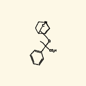 CC(OC1CN2CCC1CC2)(C(=O)O)c1ccccc1